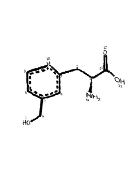 N[C@@H](Cc1cc(CO)ccn1)C(=O)O